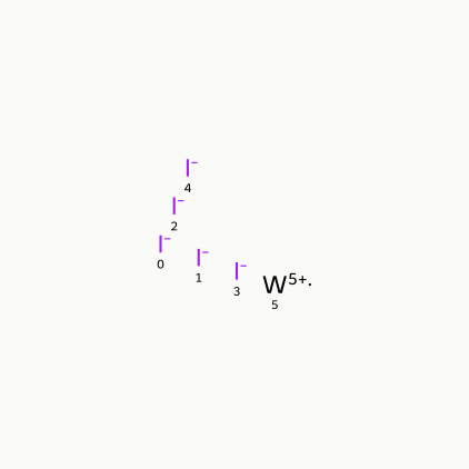 [I-].[I-].[I-].[I-].[I-].[W+5]